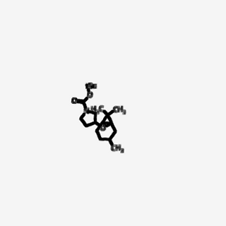 CC1CCC2C(C)(C)C2(OC2CCN(C(=O)OC(C)(C)C)C2)C1